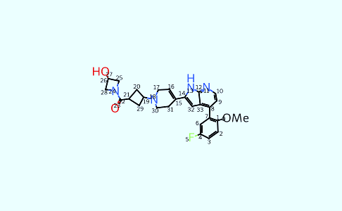 COc1ccc(F)cc1-c1ccnc2[nH]c(C3=CCN(C4CC(C(=O)N5CC(O)C5)C4)CC3)cc12